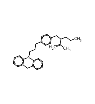 C=C(C)C(CCC)Cc1ccc(CCCN2c3ccccc3Cc3ccccc32)cc1